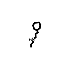 CCCNCCCC1CCCCCC1